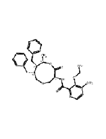 COc1ccnc(C(=O)N[C@H]2COC[C@H](Cc3ccccc3)[C@@H](Cc3ccccc3)[C@@H](C)OC2=O)c1OCOC(C)=O